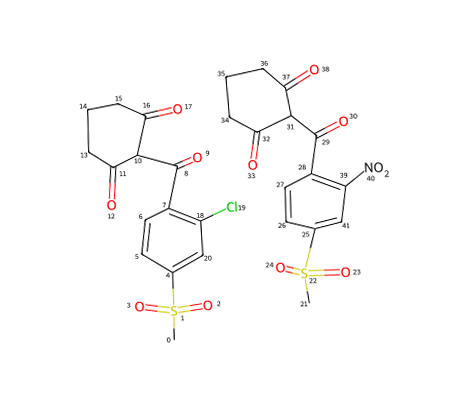 CS(=O)(=O)c1ccc(C(=O)C2C(=O)CCCC2=O)c(Cl)c1.CS(=O)(=O)c1ccc(C(=O)C2C(=O)CCCC2=O)c([N+](=O)[O-])c1